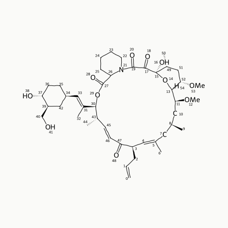 C=CC[C@@H]1/C=C(\C)C[C@H](C)C[C@H](OC)[C@H]2O[C@@](O)(C(=O)C(=O)N3CCCCC3C(=O)O[C@H](/C(C)=C/[C@@H]3CC[C@@H](O)[C@H](CO)C3)[C@@H](C)/C=C/C1=O)[C@H](C)C[C@@H]2OC